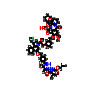 C=CCOC(=O)NC(C(=O)NC(C)C(=O)Nc1ccc(COc2cc3c(c4ccccc24)[C@H](CCl)CN3C(=O)Cc2cccc(COc3cc4c(cc3OC)C(=O)N3CCCC[C@H]3C(OC3CCCCO3)N4C(=O)O)c2)cc1)C(C)C